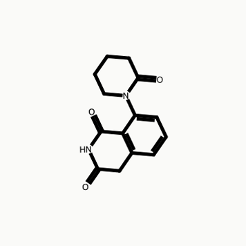 O=C1Cc2cccc(N3CCCCC3=O)c2C(=O)N1